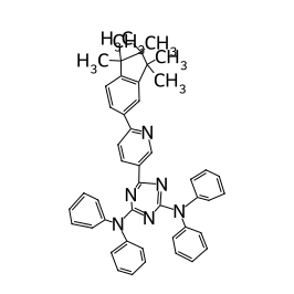 CC1(C)c2ccc(-c3ccc(-c4nc(N(c5ccccc5)c5ccccc5)nc(N(c5ccccc5)c5ccccc5)n4)cn3)cc2C(C)(C)C1(C)C